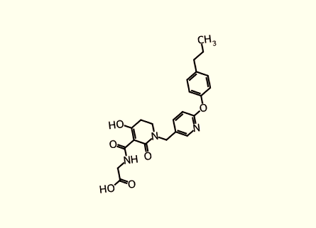 CCCc1ccc(Oc2ccc(CN3CCC(O)=C(C(=O)NCC(=O)O)C3=O)cn2)cc1